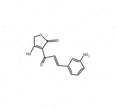 O=C(C=Cc1cccc([N+](=O)[O-])c1)C1=C(O)COC1=O